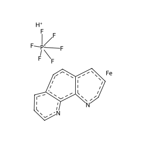 F[P-](F)(F)(F)(F)F.[Fe].[H+].c1cnc2c(c1)ccc1cccnc12